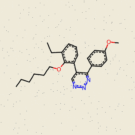 CCCCCCOc1c(CC)cccc1-c1cnnnc1-c1ccc(OC)cc1